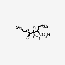 CC(C)C(C)(C(=O)OCC(C)(C)C)C(CC(C)(C)C)C(=O)O